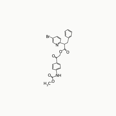 COC(=O)Nc1ccc(C(=O)COC(=O)C(Cc2ccccc2)c2ccc(Br)cn2)cc1